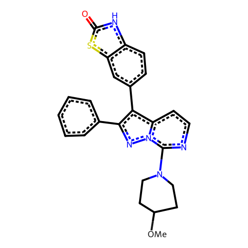 COC1CCN(c2nccc3c(-c4ccc5[nH]c(=O)sc5c4)c(-c4ccccc4)nn23)CC1